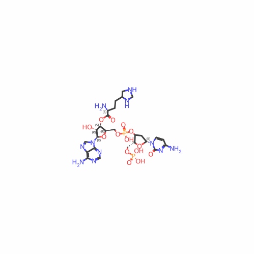 Nc1ccn([C@H]2CC(OP(=O)(O)OC[C@H]3O[C@@H](n4cnc5c(N)ncnc54)[C@H](O)[C@@H]3OC(=O)[C@@H](N)CCC3CNCN3)[C@@H](COP(=O)(O)O)O2)c(=O)n1